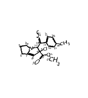 COC(=O)C1(Cl)C=C2CCCN2C1C(=S)c1ccc(C)cc1